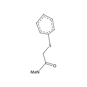 CNC(=O)CSc1cc[c]cc1